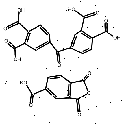 O=C(O)c1ccc2c(c1)C(=O)OC2=O.O=C(c1ccc(C(=O)O)c(C(=O)O)c1)c1ccc(C(=O)O)c(C(=O)O)c1